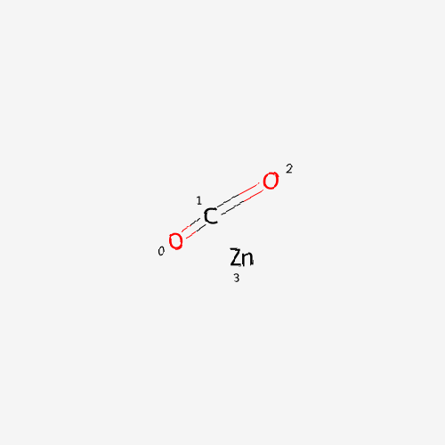 O=C=O.[Zn]